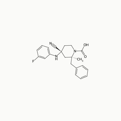 C[C@]1(Cc2ccccc2)C[C@](C#N)(Nc2cccc(F)c2)CCN1C(=O)O